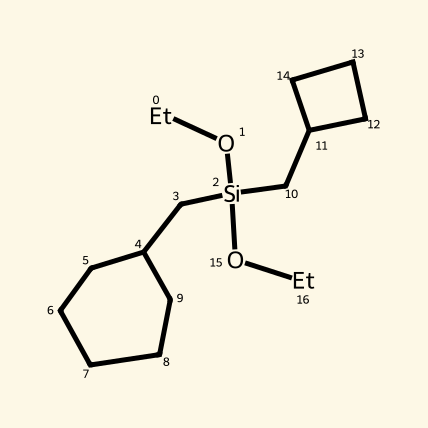 CCO[Si](CC1CCCCC1)(CC1CCC1)OCC